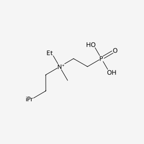 CC[N+](C)(CCC(C)C)CCP(=O)(O)O